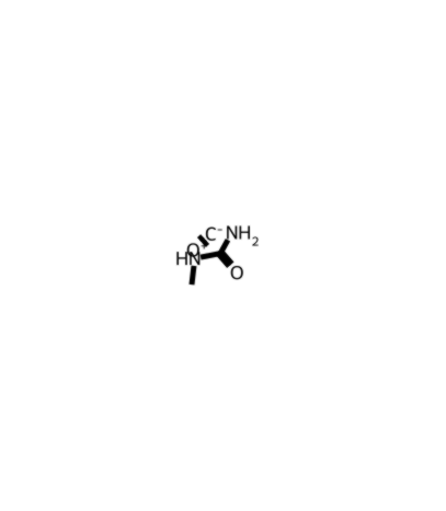 CNC(N)=O.[C-]#[O+]